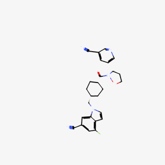 N#Cc1cncc([C@@H]2CCON2C(=O)[C@H]2CC[C@H](Cn3ccc4c(F)cc(C#N)cc43)CC2)c1